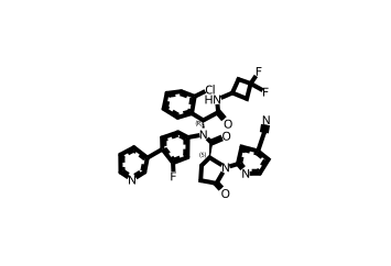 N#Cc1ccnc(N2C(=O)CC[C@H]2C(=O)N(c2ccc(-c3cccnc3)c(F)c2)[C@@H](C(=O)NC2CC(F)(F)C2)c2ccccc2Cl)c1